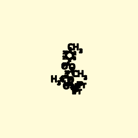 Cc1ccc(C(=O)OC(C)CC(C)OC(=O)N(C(C)C)C(C)C)cc1